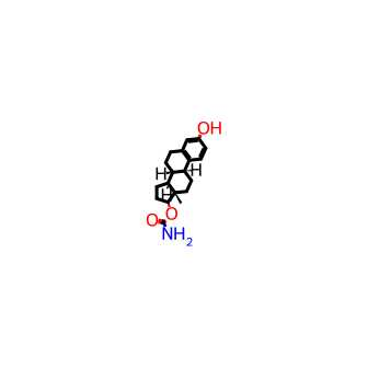 C[C@]12CC[C@@H]3c4ccc(O)cc4CC[C@H]3[C@@H]1CC[C@@H]2OC(N)=O